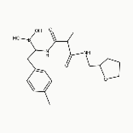 Cc1ccc(CC(NC(=O)C(C)C(=O)NCC2CCCO2)B(O)O)cc1